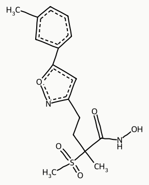 Cc1cccc(-c2cc(CCC(C)(C(=O)NO)S(C)(=O)=O)no2)c1